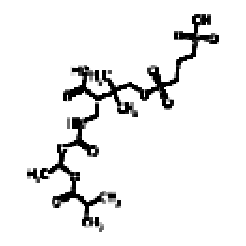 CC(OC(=O)NC[C@@H](C(=O)O)C(C)(C)COS(=O)(=O)CCCS(=O)(=O)O)OC(=O)C(C)C